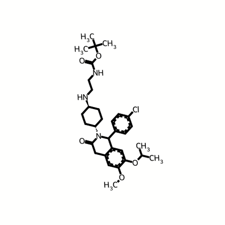 COc1cc2c(cc1OC(C)C)C(c1ccc(Cl)cc1)N([C@H]1CC[C@H](NCCNC(=O)OC(C)(C)C)CC1)C(=O)C2